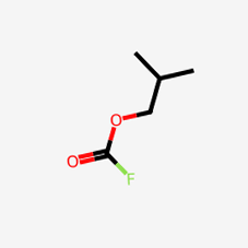 CC(C)COC(=O)F